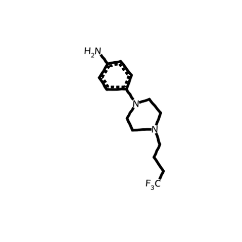 Nc1ccc(N2CCN(CCCC(F)(F)F)CC2)cc1